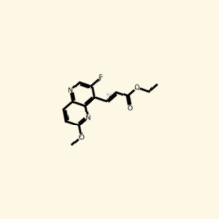 CCOC(=O)/C=C/c1c(F)cnc2ccc(OC)nc12